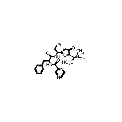 CC(C)CC(NC(=O)C(Cc1ccccc1)NC(=O)c1cnccn1)B1OC(=O)[C@@H](C(C(=O)O)N(C)C)O1